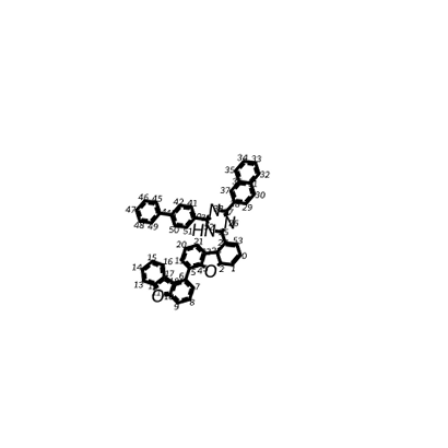 C1=CC2Oc3c(-c4cccc5oc6ccccc6c45)cccc3C2C(C2N=C(c3ccc4ccccc4c3)N=C(c3ccc(-c4ccccc4)cc3)N2)=C1